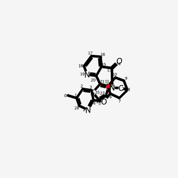 Cc1ccc(OC2CC3CCC2N(C(=O)c2cccnc2-c2nccs2)C3)nc1